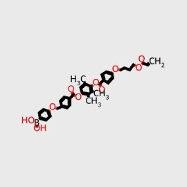 C=CC(=O)OCCCCOc1ccc(C(=O)Oc2c(C)cc(OC(=O)c3ccc(COc4ccc(B(O)O)cc4)cc3)c(C)c2C)cc1